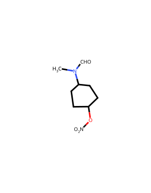 CN(C=O)C1CCC(O[N+](=O)[O-])CC1